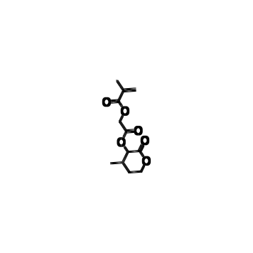 C=C(C)C(=O)OCC(=O)OC1C(=O)OCCC1C